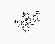 CC(C)CN1C(=O)c2ccccc2C(C(=O)Nc2cc(F)cc(C#N)c2)C1c1cccnc1